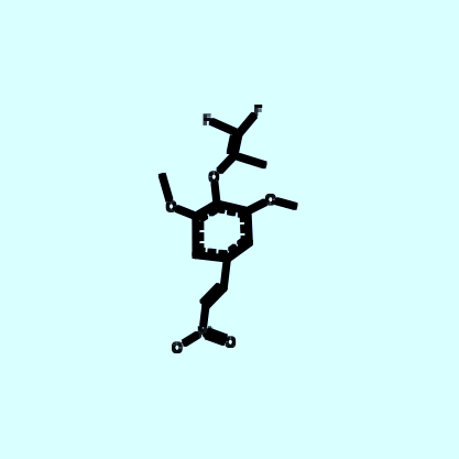 COc1cc(C=C[N+](=O)[O-])cc(OC)c1OC(C)=C(F)F